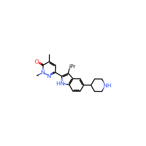 Cc1cc(-c2[nH]c3ccc(C4CCNCC4)cc3c2C(C)C)nn(C)c1=O